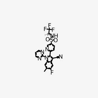 Cc1cc2c(cc1F)c(C#N)c(-c1ccc(S(=O)(=O)N[C@H](C)C(F)(F)F)cn1)n2-c1ncccn1